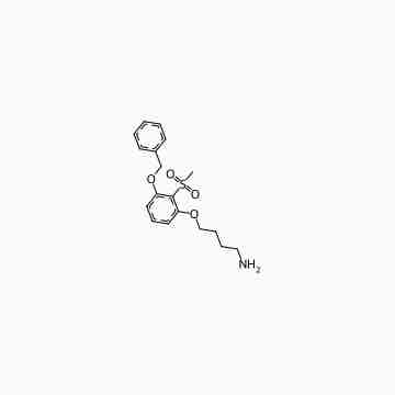 CS(=O)(=O)c1c(OCCCCN)cccc1OCc1ccccc1